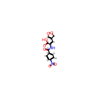 O=C(O)C(=CC1=COOC1)NC(=O)c1ccc([N+](=O)[O-])cc1